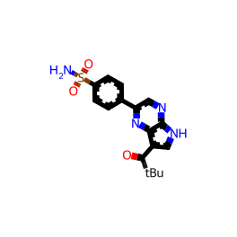 CC(C)(C)C(=O)c1c[nH]c2ncc(-c3ccc(S(N)(=O)=O)cc3)nc12